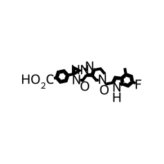 Cc1cc(F)cc2[nH]c(C(=O)N3CCc4n[nH]c(C(=O)N(C)C5(c6ccc(C(=O)O)cc6)CC5)c4C3)cc12